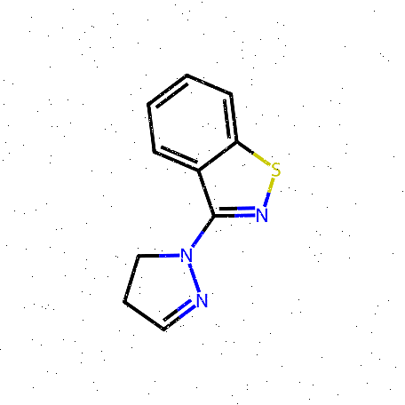 C1=NN(c2nsc3ccccc23)CC1